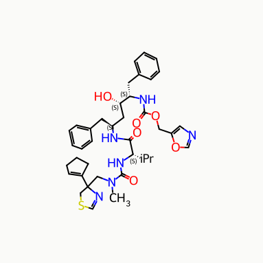 CC(C)[C@H](NC(=O)N(C)CC1(C2=CCCC2)CSC=N1)C(=O)N[C@@H](Cc1ccccc1)C[C@H](O)[C@H](Cc1ccccc1)NC(=O)OCc1cnco1